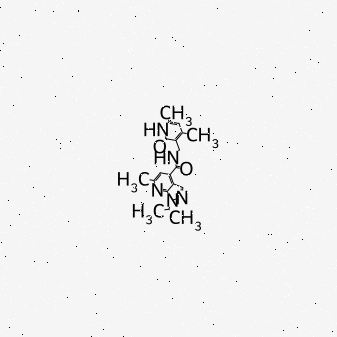 Cc1cc(C(=O)NCc2c(C)cc(C)[nH]c2=O)c2cnn(C(C)C)c2n1